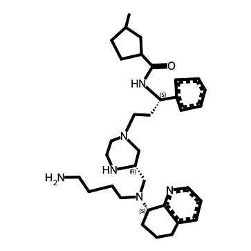 CC1CCC(C(=O)N[C@@H](CCN2CCN[C@@H](CN(CCCCN)[C@H]3CCCc4cccnc43)C2)c2ccccc2)C1